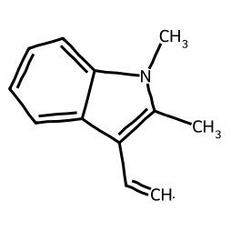 [CH]=Cc1c(C)n(C)c2ccccc12